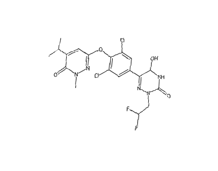 CC(C)c1cc(Oc2c(Cl)cc(C3=NN(CC(F)F)C(=O)NC3O)cc2Cl)nn(C)c1=O